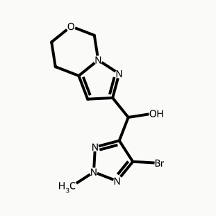 Cn1nc(Br)c(C(O)c2cc3n(n2)COCC3)n1